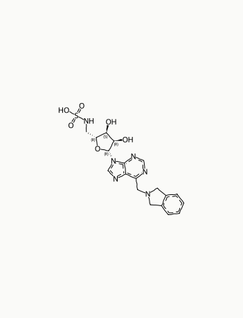 O=S(=O)(O)NC[C@H]1O[C@@H](n2cnc3c(CN4Cc5ccccc5C4)ncnc32)[C@H](O)[C@@H]1O